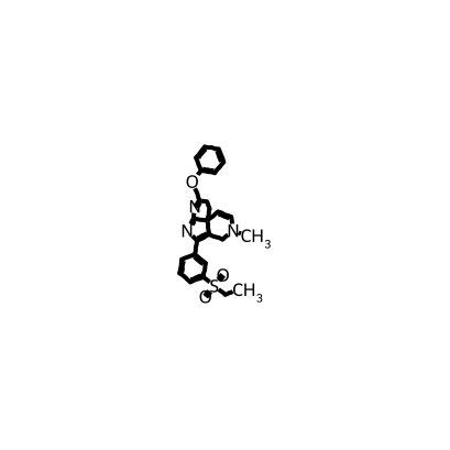 CCS(=O)(=O)c1cccc(C2=C3CN(C)C=CC34CCC(Oc3ccccc3)=NC4=N2)c1